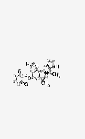 COc1cc(OCc2c(F)cccc2Cl)cc(OC)c1CN[C@@H](C)c1ccc[nH]1